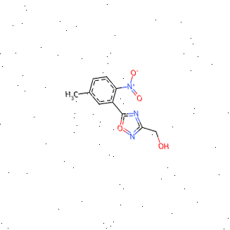 Cc1ccc([N+](=O)[O-])c(-c2nc(CO)no2)c1